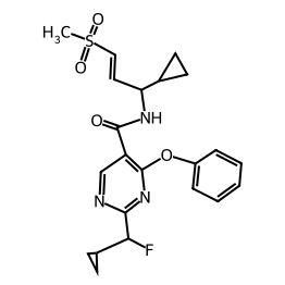 CS(=O)(=O)/C=C/C(NC(=O)c1cnc(C(F)C2CC2)nc1Oc1ccccc1)C1CC1